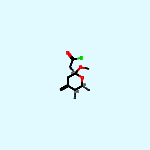 C=C1C[C@@](CC(=O)Cl)(OC)O[C@H](C)[C@@H]1C